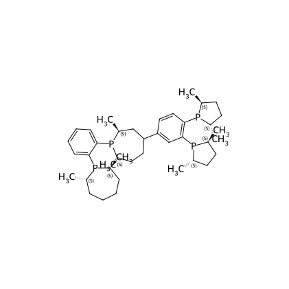 C[C@H]1CC[C@H](C)P1c1ccc(C2CC[C@H](C)P(c3ccccc3P3[C@@H](C)CCCC[C@@H]3C)[C@@H](C)C2)cc1P1[C@@H](C)CC[C@@H]1C